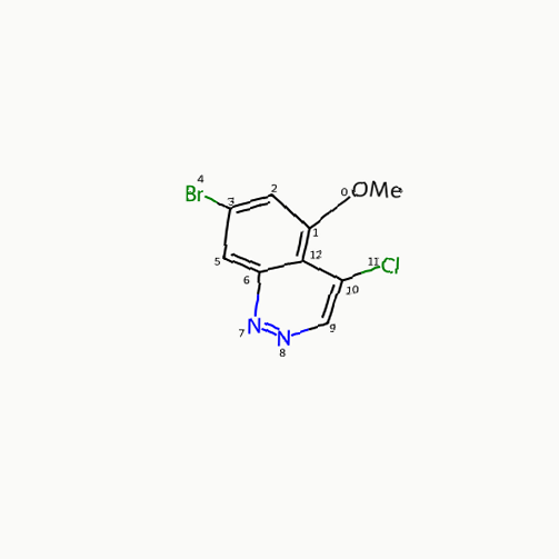 COc1cc(Br)cc2nncc(Cl)c12